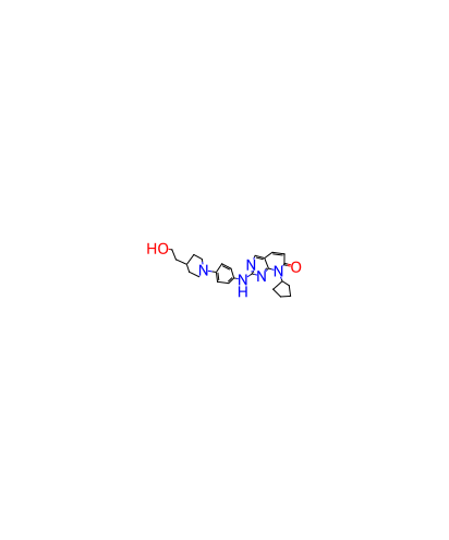 O=c1ccc2cnc(Nc3ccc(N4CCC(CCO)CC4)cc3)nc2n1C1CCCC1